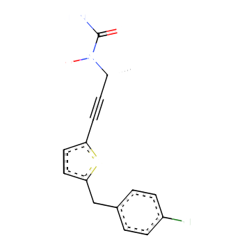 C[C@H](C#Cc1ccc(Cc2ccc(Cl)cc2)s1)N(O)C(N)=O